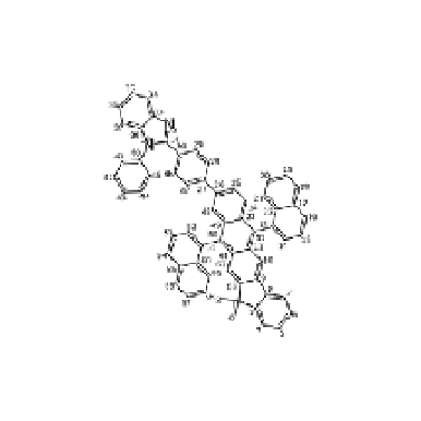 CC1(C)c2ccccc2-c2cc3c(-c4cccc5ccccc45)c4ccc(-c5ccc(-c6nc7ccccc7n6-c6ccccc6)cc5)cc4c(-c4cccc5ccccc45)c3cc21